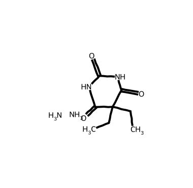 CCC1(CC)C(=O)NC(=O)NC1=O.N.N